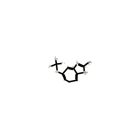 CCC(F)(F)OC1=CCC=c2[nH]c(C(C)C)nc2=C1